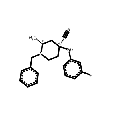 C[C@@H]1C[C@@](C#N)(Nc2cccc(F)c2)CCN1Cc1ccccc1